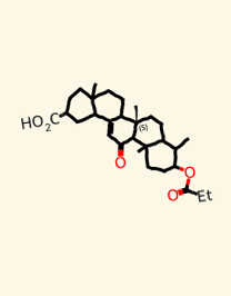 CCC(=O)OC1CCC2(C)C(CC[C@@]3(C)C4CCC5(C)CCC(C(=O)O)CC5C4=CC(=O)C23)C1C